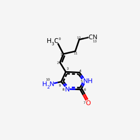 CC(=Cc1c[nH]c(=O)nc1N)CCC#N